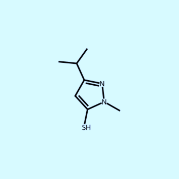 CC(C)c1cc(S)n(C)n1